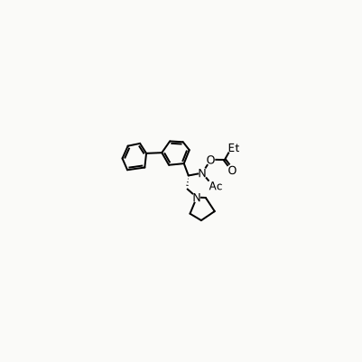 CCC(=O)ON(C(C)=O)[C@H](CN1CCCC1)c1cccc(-c2ccccc2)c1